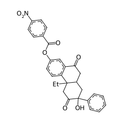 CCC12CC(=O)C(O)(c3ccccc3)CC1CC(=O)c1cc(OC(=O)c3ccc([N+](=O)[O-])cc3)ccc12